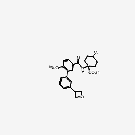 CC[C@H]1CC[C@@](NC(=O)c2ccc(OC)c(-c3cccc(C4COC4)c3)c2)(C(=O)O)CC1